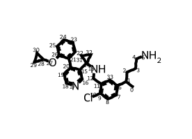 CC(CCCN)c1ccc(Cl)c(CNC2(c3cnccc3-c3ccccc3OC3CC3)CC2)c1